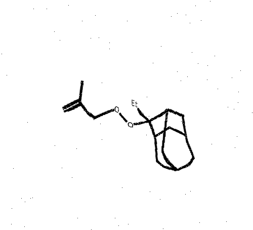 C=C(C)COOC1(CC)C2CC3CC(C2)CC1C3